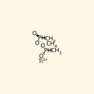 C.C[PH](=O)[O-].C[PH](=O)[O-].[Ti+2]